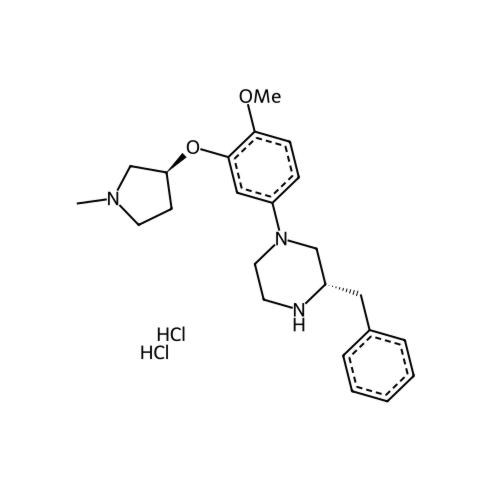 COc1ccc(N2CCN[C@@H](Cc3ccccc3)C2)cc1O[C@H]1CCN(C)C1.Cl.Cl